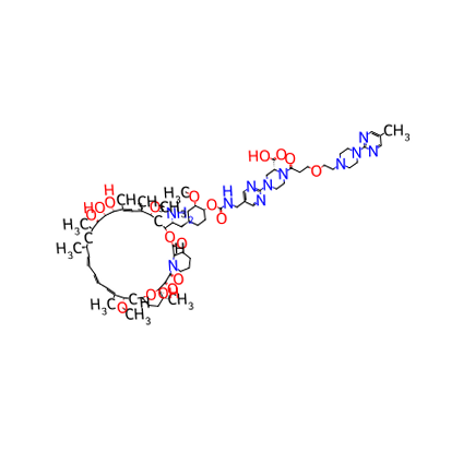 CO[C@H]1C[C@@H]2CC[C@@H](C)[C@@](O)(O2)C(=O)C(=O)N2CCCC[C@H]2C(=O)O[C@H]([C@H](N)C[C@@H]2CC[C@@H](OC(=O)NCc3cnc(N4CCN(C(=O)CCOCCN5CCN(c6ncc(C)cn6)CC5)[C@@H](C(=O)O)C4)nc3)[C@H](OC)C2)C[C@@H](OC)[C@H](C)/C=C(\C)[C@@H](O)[C@@H](O)C(=O)[C@H](C)C[C@H](C)/C=C/C=C/C=C/1C